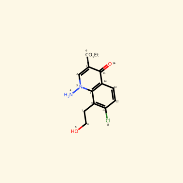 CCOC(=O)c1cn(N)c2c(CCO)c(Cl)ccc2c1=O